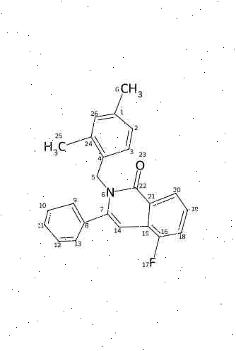 Cc1ccc(Cn2c(-c3ccccc3)cc3c(F)cccc3c2=O)c(C)c1